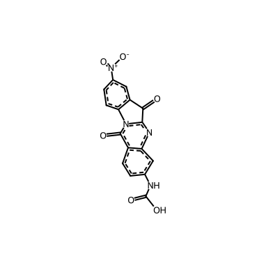 O=C(O)Nc1ccc2c(=O)n3c(nc2c1)C(=O)c1cc([N+](=O)[O-])ccc1-3